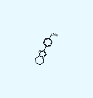 CSc1ccc(-c2cn3c(n2)CCCC3)cc1